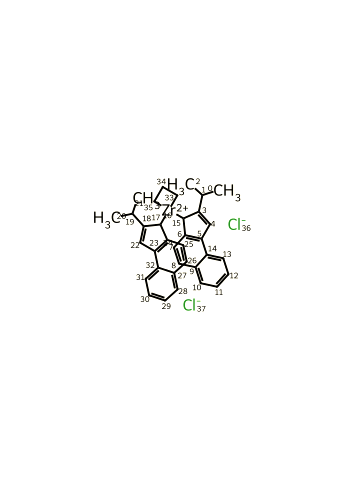 CC(C)C1=Cc2c(ccc3ccccc23)[CH]1[Zr+2]1([CH]2C(C(C)C)=Cc3c2ccc2ccccc32)[CH2]C[CH2]1.[Cl-].[Cl-]